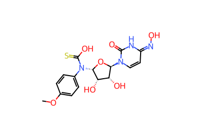 COc1ccc(N(C(O)=S)[C@@H]2O[C@@H](n3cc/c(=N/O)[nH]c3=O)[C@H](O)[C@@H]2O)cc1